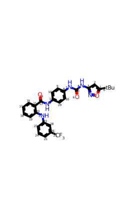 CC(C)(C)c1cc(NC(=O)Nc2ccc(NC(=O)c3ccccc3Nc3cccc(C(F)(F)F)c3)cc2)no1